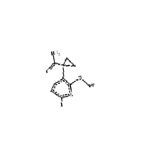 Cc1ccc(C2(C(N)=O)CC2)c(OC(C)C)n1